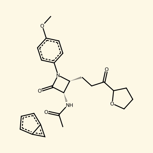 COc1ccc(N2C(=O)[C@@H](NC(C)=O)[C@H]2CCC(=O)C2CCCO2)cc1.c1cc2cc-2c1